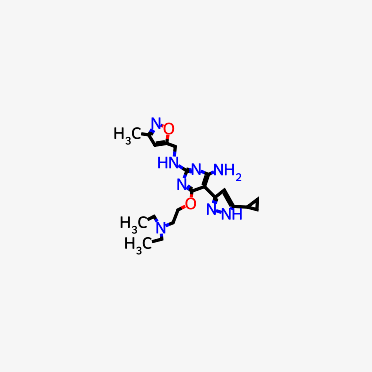 CCN(CC)CCOc1nc(NCc2cc(C)no2)nc(N)c1-c1cc(C2CC2)[nH]n1